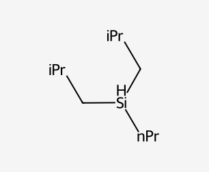 CCC[SiH](CC(C)C)CC(C)C